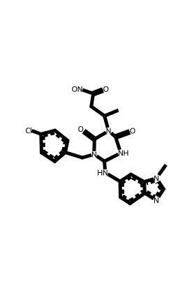 CC(CC(=O)N=O)N1C(=O)NC(Nc2ccc3ncn(C)c3c2)N(Cc2ccc(Cl)cc2)C1=O